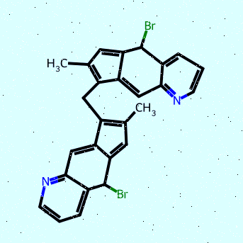 CC1=C(CC2=C(C)C=C3C2=Cc2ncccc2C3Br)C2=Cc3ncccc3C(Br)C2=C1